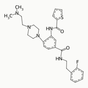 CN(C)CCN1CCN(c2ccc(C(=O)NCCc3ccccc3F)cc2NC(=O)c2cccs2)CC1